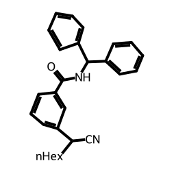 CCCCCCC(C#N)c1cccc(C(=O)NC(c2ccccc2)c2ccccc2)c1